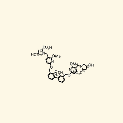 COc1nc(OCc2cccc(-c3cccc(COc4ccc(CN5C[C@@H](O)C[C@H]5C(=O)O)c(OC)n4)c3C)c2C)ccc1CN1C[C@@H](O)C[C@H]1C(=O)O